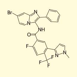 Cn1ccc(-c2cc(C(=O)Nc3c(-c4ccccc4)nc4cc(Br)ccn34)c(F)cc2C(F)(F)F)n1